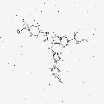 COC(=O)c1cnc2c(c1)cc(C(=O)NC1CCN(C(C)C)CC1)n2Cc1cc(-c2ccc(Cl)s2)on1